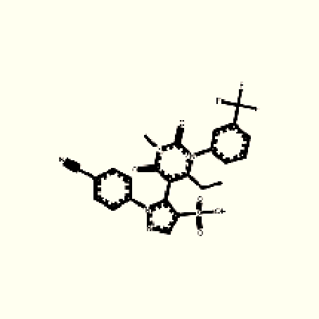 CCc1c(-c2c(S(=O)(=O)O)cnn2-c2ccc(C#N)cc2)c(=O)n(C)c(=O)n1-c1cccc(C(F)(F)F)c1